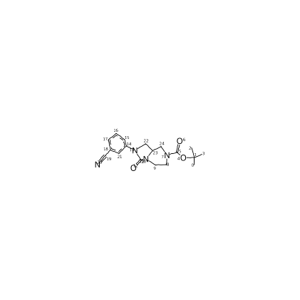 CC(C)(C)OC(=O)N1CCN2C(=O)N(c3cccc(C#N)c3)CC2C1